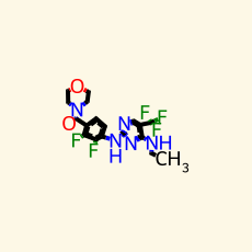 CCNc1nc(Nc2ccc(C(=O)N3CCOCC3)c(F)c2F)ncc1C(F)(F)F